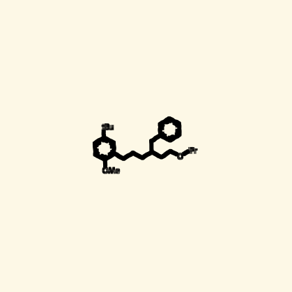 COc1ccc(C(C)(C)C)cc1CCCC(CCOC(C)C)Cc1ccccc1